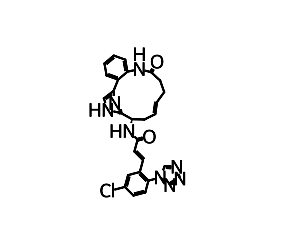 O=C(/C=C/c1cc(Cl)ccc1-n1cnnn1)N[C@H]1C/C=C/CCC(=O)Nc2ccccc2-c2c[nH]c1n2